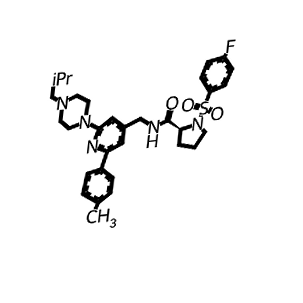 Cc1ccc(-c2cc(CNC(=O)[C@@H]3CCCN3S(=O)(=O)c3ccc(F)cc3)cc(N3CCN(CC(C)C)CC3)n2)cc1